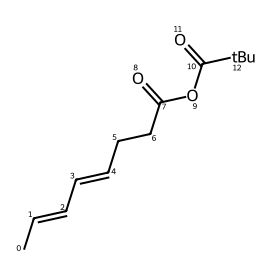 CC=CC=CCCC(=O)OC(=O)C(C)(C)C